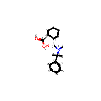 CN(C[C@H]1CCCC[C@@H]1C(=O)O)C(C)(C)c1ccccc1